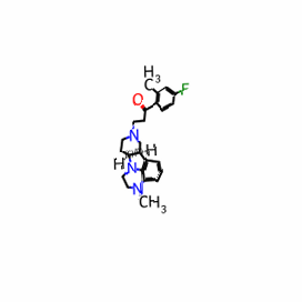 Cc1cc(F)ccc1C(=O)CCN1CC[C@H]2[C@@H](C1)c1cccc3c1N2CCN3C